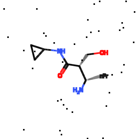 CCC[C@H](N)[C@@H](CO)C(=O)NC1CC1